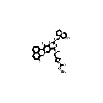 CN(CC1CN(C(=O)OC(C)(C)C)C1)c1nc(OC[C@@]23CCCN2C[C@H](F)C3)nc2c(F)c(-c3cccc4ccc(F)c(F)c34)ncc12